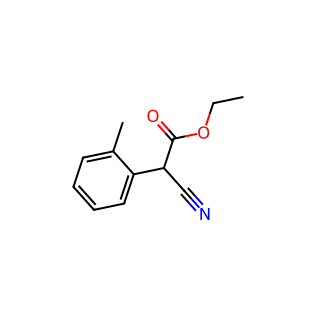 CCOC(=O)C(C#N)c1ccccc1C